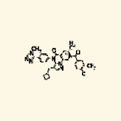 C[C@H]1Cc2c(n3ncc(CC4CCC4)c3n(-c3ccc(-c4nncn4C)cc3)c2=O)CN1C(=O)c1ccc(Cl)c(C(F)(F)F)c1